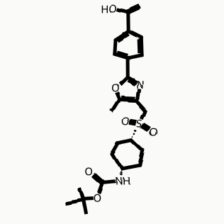 C=C(O)c1ccc(-c2nc(CS(=O)(=O)[C@H]3CC[C@@H](NC(=O)OC(C)(C)C)CC3)c(C)o2)cc1